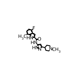 Cc1ccc(F)c2cc(C(=O)Nc3cc(C4CCN(C)CC4)n[nH]3)[nH]c12